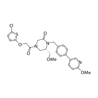 COC[C@@H]1CN(C(=O)COc2ccc(Cl)s2)CC(=O)N1Cc1ccc(-c2ccc(OC)nc2)cc1